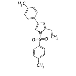 C=Cc1cc(-c2ccc(C)cc2)cn1S(=O)(=O)c1ccc(C)cc1